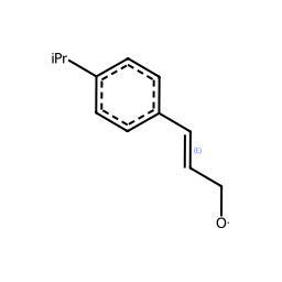 CC(C)c1ccc(/C=C/C[O])cc1